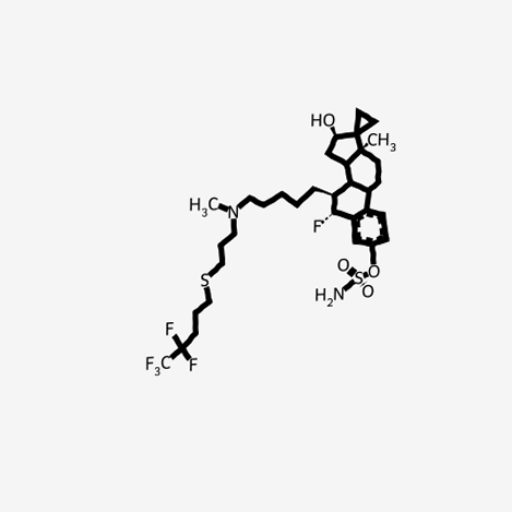 CN(CCCCC[C@H]1C2C(CC[C@@]3(C)C2C[C@@H](O)C32CC2)c2ccc(OS(N)(=O)=O)cc2[C@@H]1F)CCCSCCCC(F)(F)C(F)(F)F